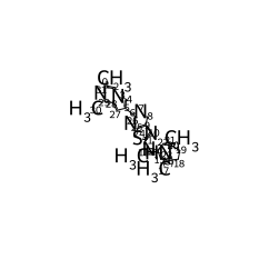 Cc1cn2cc(-c3ncc4nc(N(C)C5C[C@]6(C)CC[C@](C)(C5)N6)sc4n3)cc2c(C)n1